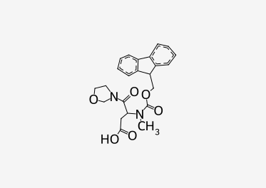 CN(C(=O)OCC1c2ccccc2-c2ccccc21)C(CC(=O)O)C(=O)N1CCOC1